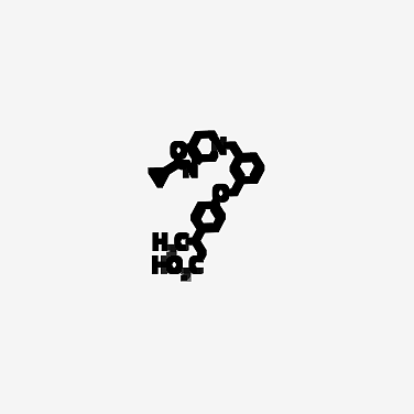 CC(CC(=O)O)c1ccc(OCc2cccc(CN3CCc4oc(C5CC5)nc4C3)c2)cc1